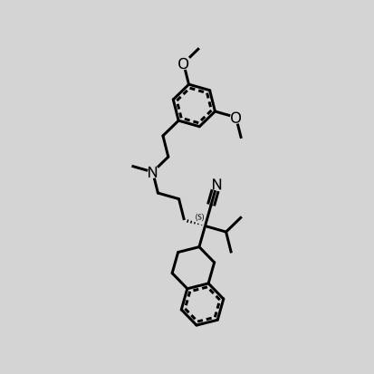 COc1cc(CCN(C)CCC[C@](C#N)(C(C)C)C2CCc3ccccc3C2)cc(OC)c1